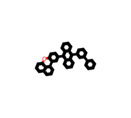 c1ccc(-c2cccc(-c3c4ccccc4c(-c4ccc5c(c4)-c4cccc6cccc(c46)O5)c4ccccc34)c2)cc1